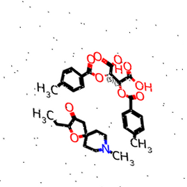 CCC1OC2(CCN(C)CC2)CC1=O.Cc1ccc(C(=O)O[C@H](C(=O)O)[C@H](OC(=O)c2ccc(C)cc2)C(=O)O)cc1